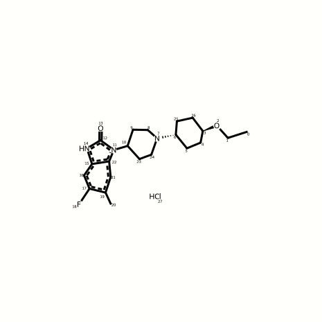 CCO[C@H]1CC[C@H](N2CCC(n3c(=O)[nH]c4cc(F)c(C)cc43)CC2)CC1.Cl